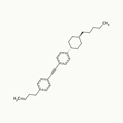 C=CCCc1ccc(C#Cc2ccc([C@H]3CC[C@H](CCCCC)CC3)cc2)cc1